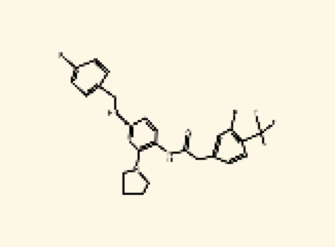 O=C(Cc1ccc(C(F)(F)F)c(F)c1)Nc1ccc(NCc2ccc(F)cc2)nc1N1CCCC1